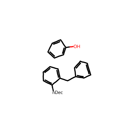 CCCCCCCCCCc1ccccc1Cc1ccccc1.Oc1ccccc1